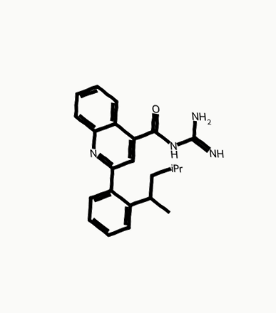 CC(C)CC(C)c1ccccc1-c1cc(C(=O)NC(=N)N)c2ccccc2n1